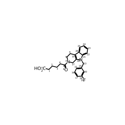 O=C(O)CCCCC(=O)N1CCc2c(n(Cc3cccc(F)c3)c3ccccc23)C1